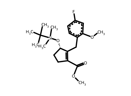 COC(=O)C1=C(Cc2ccc(F)cc2OC)[C@@H](O[Si](C)(C)C(C)(C)C)CC1